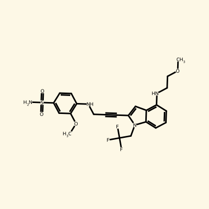 COCCNc1cccc2c1cc(C#CCNc1ccc(S(N)(=O)=O)cc1OC)n2CC(F)(F)F